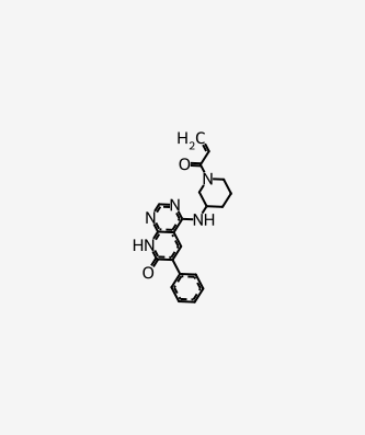 C=CC(=O)N1CCCC(Nc2ncnc3[nH]c(=O)c(-c4ccccc4)cc23)C1